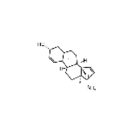 C[C@]12CC[C@H]3[C@@H](CCC4C[C@@H](O)C=C[C@@]43C)[C@@H]1C=C[C@@H]2N